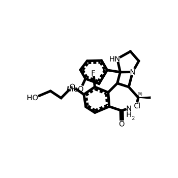 COc1cccc(C23NCCN2C([C@@H](C)Cl)C3c2c(C(N)=O)ccc(OCCO)c2F)c1